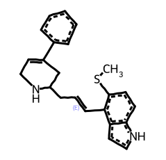 CSc1ccc2[nH]ccc2c1/C=C/CC1CC(c2ccccc2)=CCN1